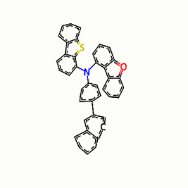 c1ccc2cc(-c3ccc(N(c4cccc5c4sc4ccccc45)c4cccc5oc6ccccc6c45)cc3)ccc2c1